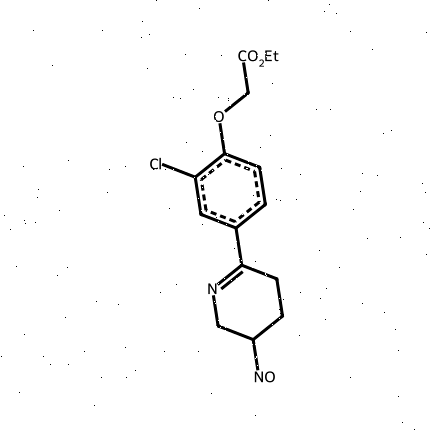 CCOC(=O)COc1ccc(C2=NCC(N=O)CC2)cc1Cl